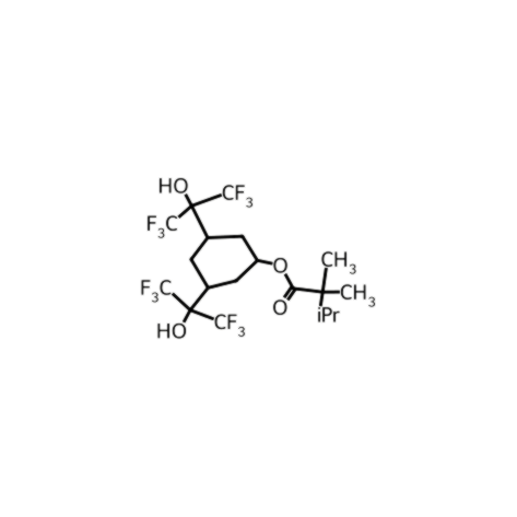 CC(C)C(C)(C)C(=O)OC1CC(C(O)(C(F)(F)F)C(F)(F)F)CC(C(O)(C(F)(F)F)C(F)(F)F)C1